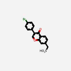 O=c1c(-c2ccc(Br)cc2)coc2cc(CS(=O)(=O)O)ccc12